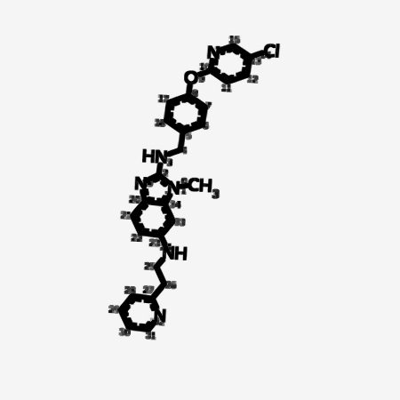 Cn1c(NCc2ccc(Oc3ccc(Cl)cn3)cc2)nc2ccc(NCCc3ccccn3)cc21